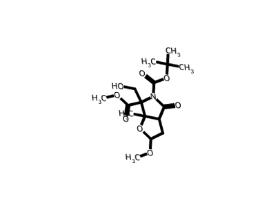 COC(=O)C1(CO)N(C(=O)OC(C)(C)C)C(=O)C2CC(OC)OC21C